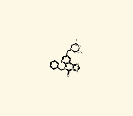 C[C@@H]1CN(Cc2cnc3c(c2)c2ncnn2c(=O)n3Cc2ccccc2)C[C@H](C)O1